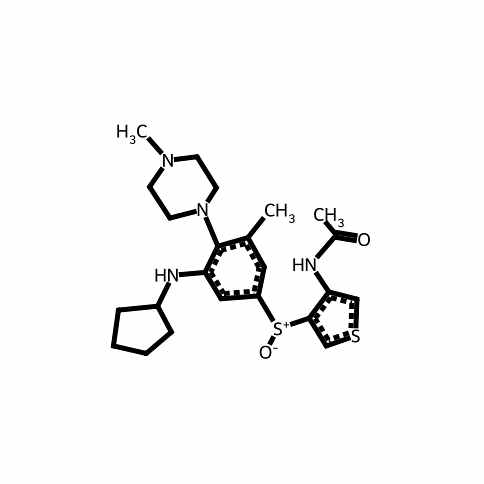 CC(=O)Nc1cscc1[S+]([O-])c1cc(C)c(N2CCN(C)CC2)c(NC2CCCC2)c1